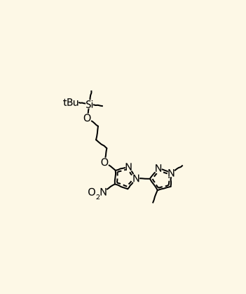 Cc1cn(C)nc1-n1cc([N+](=O)[O-])c(OCCCO[Si](C)(C)C(C)(C)C)n1